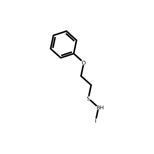 IBSCCOc1ccccc1